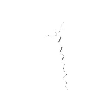 CCCCCCC/C=C/C=C/C=C/P(=O)(OCC)OCC